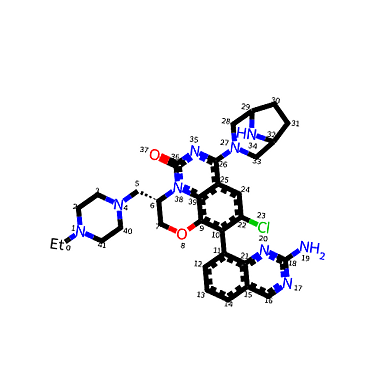 CCN1CCN(C[C@H]2COc3c(-c4cccc5cnc(N)nc45)c(Cl)cc4c(N5CC6CCC(C5)N6)nc(=O)n2c34)CC1